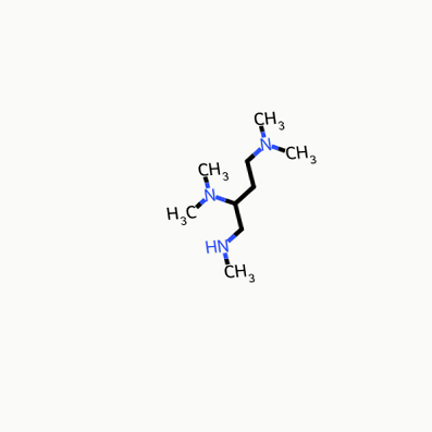 CNCC(CCN(C)C)N(C)C